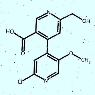 COc1cnc(Cl)cc1-c1cc(CO)ncc1C(=O)O